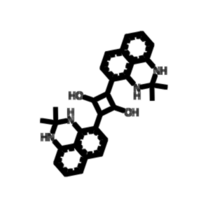 CC1(C)Nc2cccc3ccc(C4C(O)C(c5ccc6cccc7c6c5NC(C)(C)N7)C4O)c(c23)N1